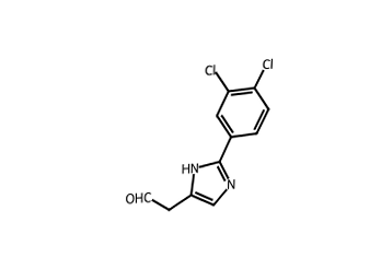 O=CCc1cnc(-c2ccc(Cl)c(Cl)c2)[nH]1